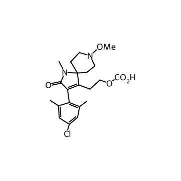 CON1CCC2(CC1)C(CCOC(=O)O)=C(c1c(C)cc(Cl)cc1C)C(=O)N2C